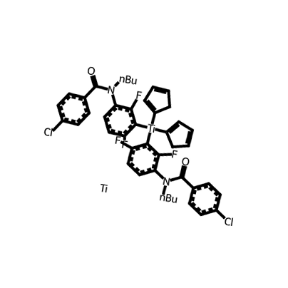 CCCCN(C(=O)c1ccc(Cl)cc1)c1ccc(F)[c]([Ti]([C]2=CC=CC2)([C]2=CC=CC2)[c]2c(F)ccc(N(CCCC)C(=O)c3ccc(Cl)cc3)c2F)c1F.[Ti]